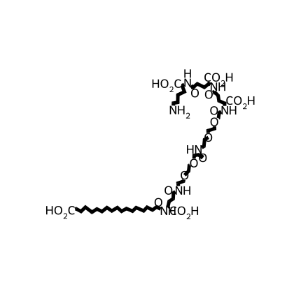 NCCCCC(NC(=O)CC[C@H](NC(=O)CC[C@H](NC(=O)COCCOCCNC(=O)COCCOCCNC(=O)CC[C@H](NC(=O)CCCCCCCCCCCCCCCCC(=O)O)C(=O)O)C(=O)O)C(=O)O)C(=O)O